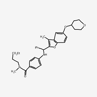 CCOC(=O)CCN(C)C(=O)c1ccc(NC(c2oc3ccc(OC4CCOCC4)cc3c2C)C(C)C)cc1